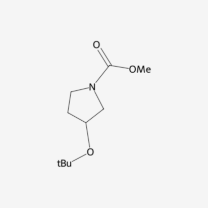 COC(=O)N1CCC(OC(C)(C)C)C1